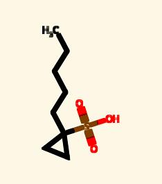 CCCCCC1(S(=O)(=O)O)CC1